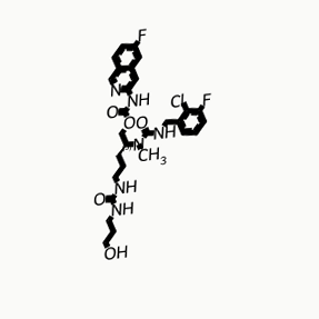 CN(C(=O)NCc1cccc(F)c1Cl)[C@@H](CCCNC(=O)NCCCO)COC(=O)Nc1cc2cc(F)ccc2cn1